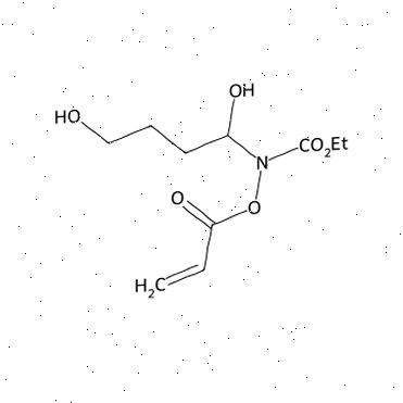 C=CC(=O)ON(C(=O)OCC)C(O)CCCO